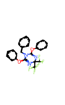 FC(F)(F)C1(C(F)(F)F)N=C(Oc2ccccc2)N(Cc2ccccc2)C(Oc2ccccc2)=N1